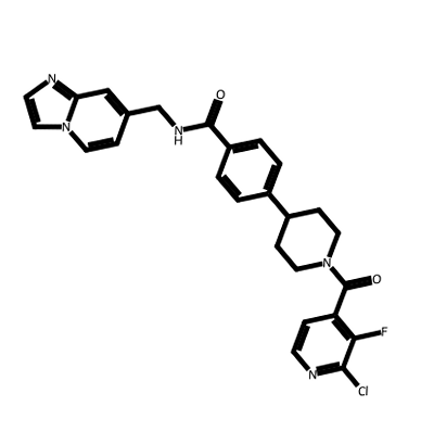 O=C(NCc1ccn2ccnc2c1)c1ccc(C2CCN(C(=O)c3ccnc(Cl)c3F)CC2)cc1